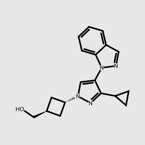 OC[C@H]1C[C@H](n2cc(-n3ncc4ccccc43)c(C3CC3)n2)C1